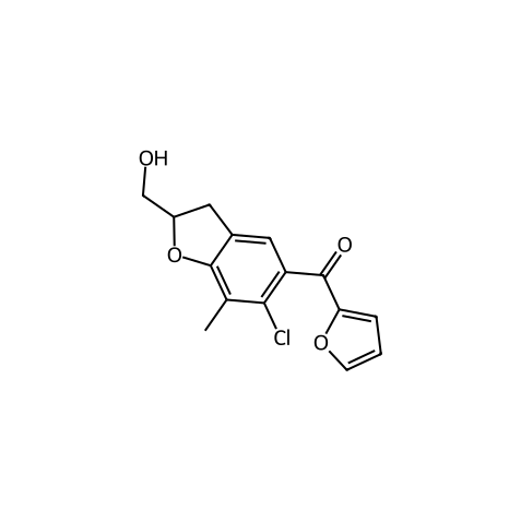 Cc1c(Cl)c(C(=O)c2ccco2)cc2c1OC(CO)C2